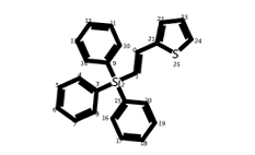 C(=C\[Si](c1ccccc1)(c1ccccc1)c1ccccc1)/c1cccs1